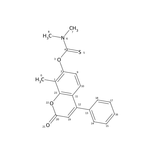 Cc1c(OC(=S)N(C)C)ccc2c(-c3ccccc3)cc(=O)oc12